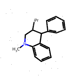 CC(C)C1CN(C)c2ccccc2C1c1ccccc1